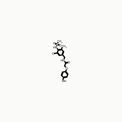 Cc1cc(CNC(=O)COc2ccc(C(C)(C)C)cc2)cc(Cl)c1NS(C)(=O)=O